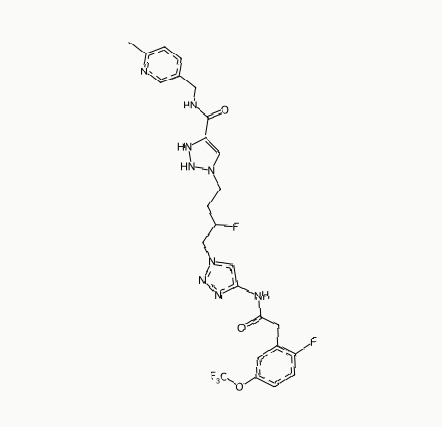 Cc1ccc(CNC(=O)C2=CN(CCC(F)Cn3cc(NC(=O)Cc4cc(OC(F)(F)F)ccc4F)nn3)NN2)cn1